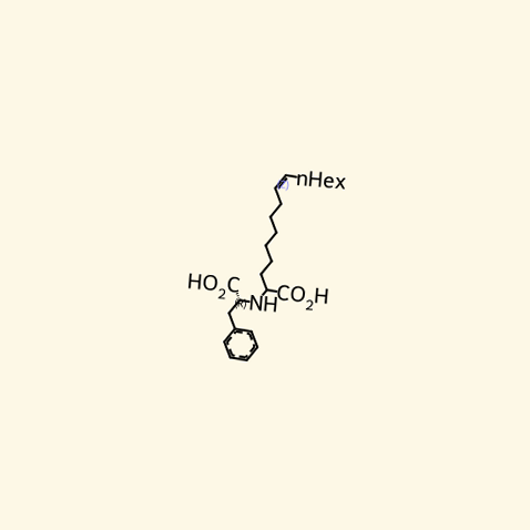 CCCCCC/C=C\CCCCCCC(N[C@H](Cc1ccccc1)C(=O)O)C(=O)O